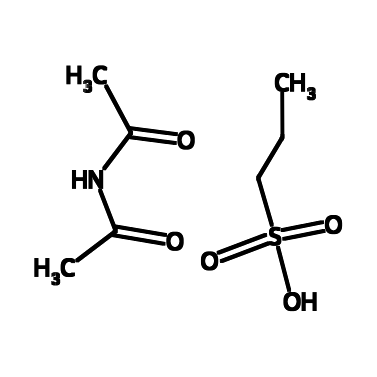 CC(=O)NC(C)=O.CCCS(=O)(=O)O